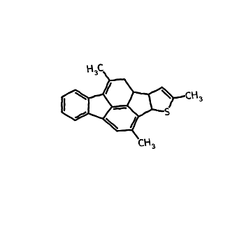 CC1=CC2C3CC(C)=C4c5ccccc5-c5cc(C)c(c3c54)C2S1